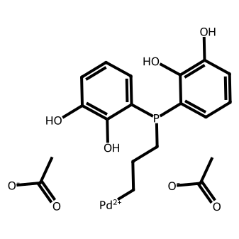 CC(=O)[O-].CC(=O)[O-].Oc1cccc(P(CC[CH2][Pd+2])c2cccc(O)c2O)c1O